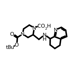 CC(C)(C)OC(=O)N1CCN(C(=O)O)C(CNC2CCCc3cccnc32)C1